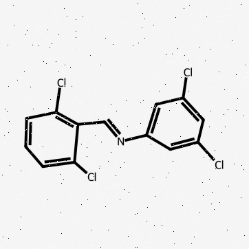 Clc1cc(Cl)cc(N=Cc2c(Cl)cccc2Cl)c1